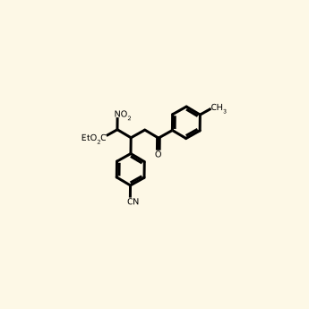 CCOC(=O)C(C(CC(=O)c1ccc(C)cc1)c1ccc(C#N)cc1)[N+](=O)[O-]